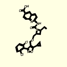 CCC1CC(COCc2c(-c3c(Cl)cccc3Cl)noc2C2CC2)N1C(=O)Nc1ccc2cc(C(=O)O)ccc2n1